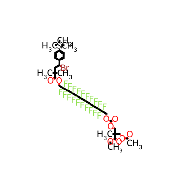 COC(=O)C(C)(COC(C)=O)COC(=O)OCC(F)(F)C(F)(F)C(F)(F)C(F)(F)C(F)(F)C(F)(F)C(F)(F)C(F)(F)C(F)(F)C(F)(F)COC(=O)C(C)(C)CC(Br)c1ccc([Si](C)(C)C)cc1